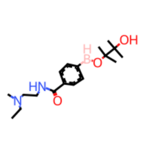 CCN(C)CCNC(=O)c1ccc(BOC(C)(C)C(C)(C)O)cc1